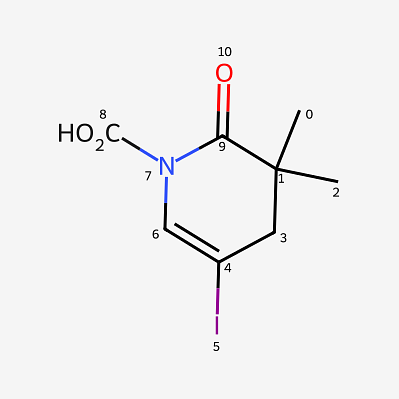 CC1(C)CC(I)=CN(C(=O)O)C1=O